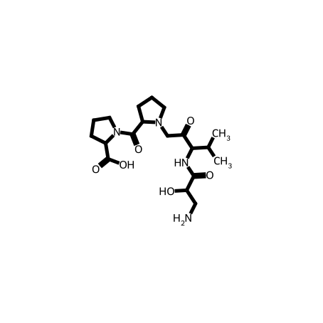 CC(C)C(NC(=O)C(O)CN)C(=O)CN1CCCC1C(=O)N1CCCC1C(=O)O